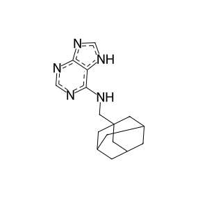 c1nc(NCC23CC4CC(CC(C4)C2)C3)c2[nH]cnc2n1